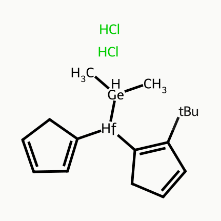 Cl.Cl.[CH3][GeH]([CH3])[Hf]([C]1=CC=CC1)[C]1=C(C(C)(C)C)C=CC1